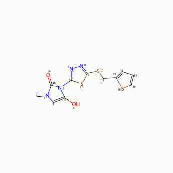 Cn1cc(O)n(-c2nnc(SCc3cccs3)s2)c1=O